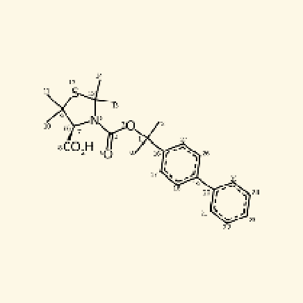 CC(C)(OC(=O)N1[C@@H](C(=O)O)C(C)(C)SC1(C)C)c1ccc(-c2ccccc2)cc1